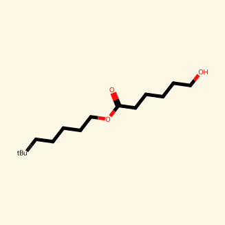 CC(C)(C)CCCCCOC(=O)CCCCCO